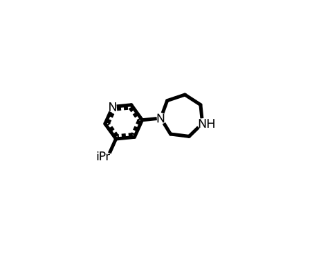 CC(C)c1cncc(N2CCCNCC2)c1